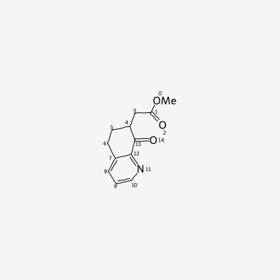 COC(=O)CC1CCc2cccnc2C1=O